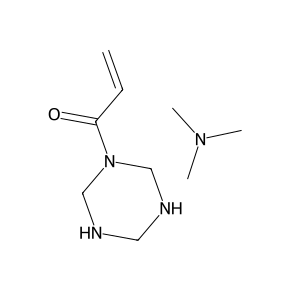 C=CC(=O)N1CNCNC1.CN(C)C